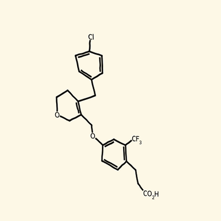 O=C(O)CCc1ccc(OCC2=C(Cc3ccc(Cl)cc3)CCOC2)cc1C(F)(F)F